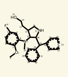 COc1ccc(F)cc1N(C)C1C(CCO)CNC1C(c1ccccc1)c1ccccc1